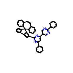 C1=Cc2ccccc2C2(c3ccccc31)c1ccccc1-c1ccc(-c3nc(-c4ccccc4)cc(-c4cnc(-c5ccccc5)nc4)n3)cc12